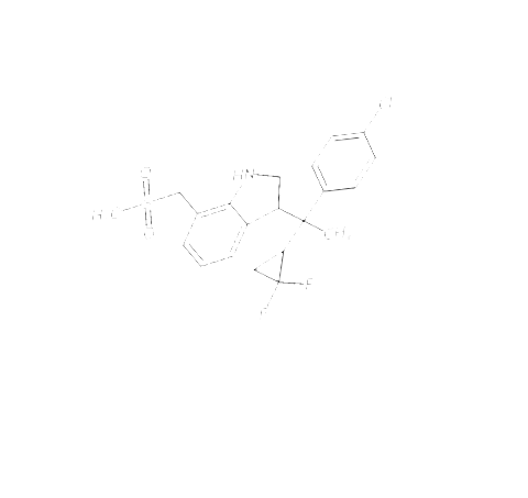 CC(c1ccc(Cl)cc1)(C1CNc2c(CS(C)(=O)=O)cccc21)C1CC1(F)F